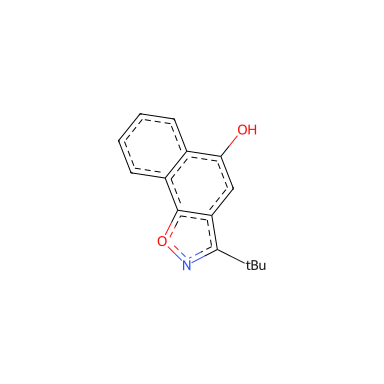 CC(C)(C)c1noc2c1cc(O)c1ccccc12